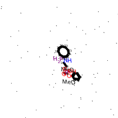 COc1cccc(OC)c1OP(=O)(O)OCCNC1(P)CCCCCCCC1